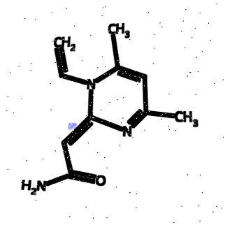 C=CN1C(C)=CC(C)=N/C1=C\C(N)=O